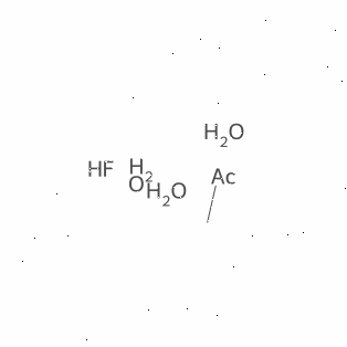 CC(C)=O.F.O.O.O